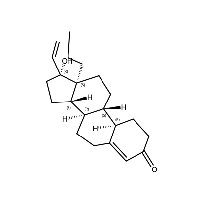 C=C[C@]1(O)CC[C@H]2[C@@H]3CCC4=CC(=O)CC[C@@H]4[C@H]3CC[C@@]21CCC